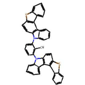 N#Cc1c(-n2c3ccccc3c3c4c(ccc32)sc2ccccc24)cccc1-n1c2ccccc2c2c3c(ccc21)sc1ccccc13